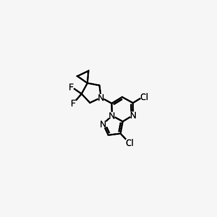 FC1(F)CN(c2cc(Cl)nc3c(Cl)cnn23)CC12CC2